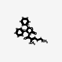 CCCC=C(C)C(=O)N1C(=O)O[C@H](c2ccccc2)[C@@H]1c1ccccc1